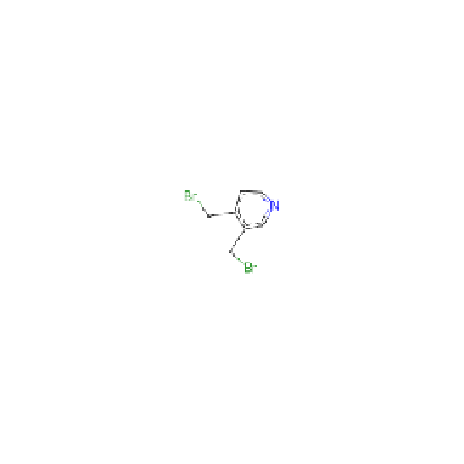 BrCc1ccncc1CBr